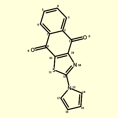 O=C1c2ccccc2C(=O)c2sc(-n3cccc3)nc21